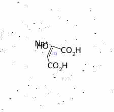 O=C(O)/C=C\C(=O)O.[Na+].[OH-]